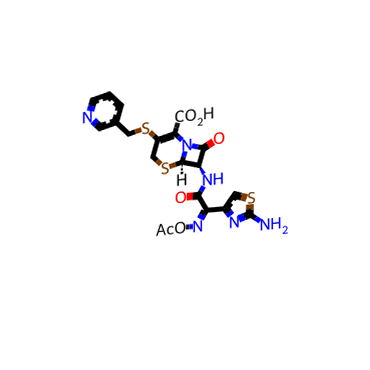 CC(=O)O/N=C(\C(=O)N[C@@H]1C(=O)N2C(C(=O)O)=C(SCc3cccnc3)CS[C@H]12)c1csc(N)n1